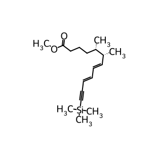 COC(=O)CCC[C@H](C)[C@H](C)/C=C/C=C/C#C[Si](C)(C)C